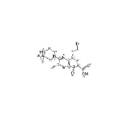 O=C(O)c1cn(CCF)c2nc(N3CCNC4(CC4)C3)c(F)cc2c1=O